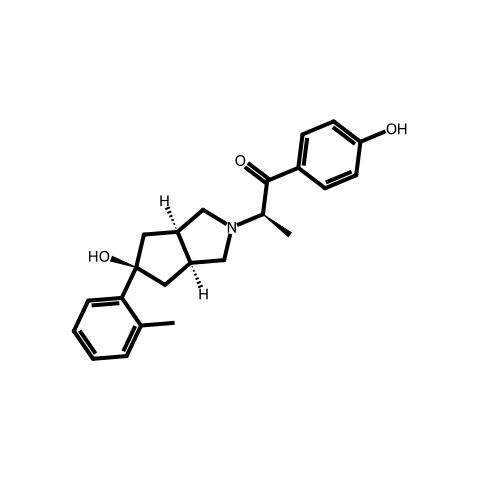 Cc1ccccc1[C@]1(O)C[C@H]2CN([C@H](C)C(=O)c3ccc(O)cc3)C[C@H]2C1